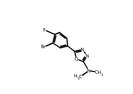 CN(C)c1nnc(-c2ccc(F)c(Br)c2)o1